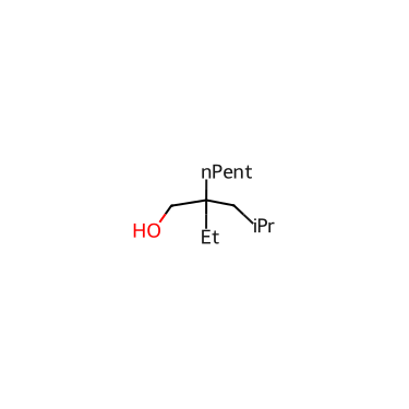 CCCCCC(CC)(CO)CC(C)C